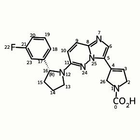 O=C(O)N1CC=C(c2cnc3ccc(N4CCC[C@@H]4c4cccc(F)c4)nn23)C1